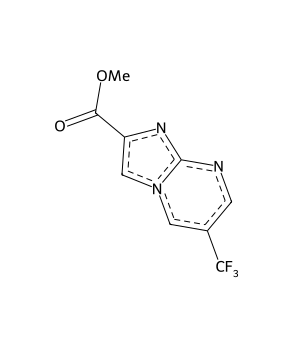 COC(=O)c1cn2cc(C(F)(F)F)cnc2n1